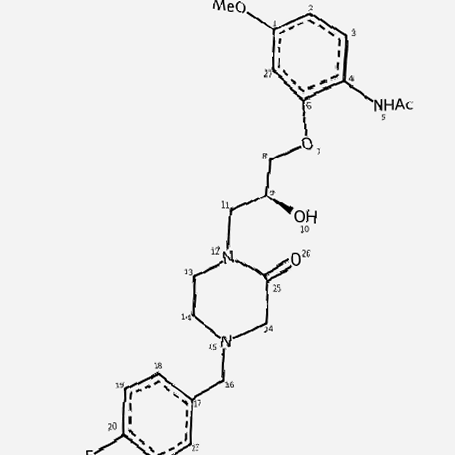 COc1ccc(NC(C)=O)c(OC[C@@H](O)CN2CCN(Cc3ccc(F)cc3)CC2=O)c1